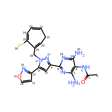 CC(=O)Nc1c(N)nc(-c2cc(-c3ccon3)n(CC3=CCC=CC=C3F)n2)nc1N